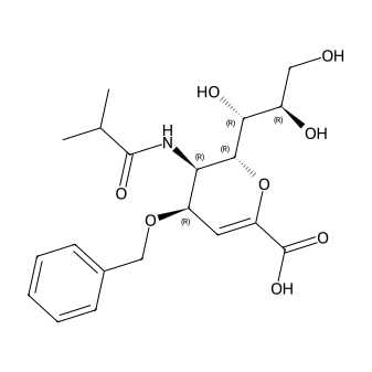 CC(C)C(=O)N[C@H]1[C@H]([C@H](O)[C@H](O)CO)OC(C(=O)O)=C[C@H]1OCc1ccccc1